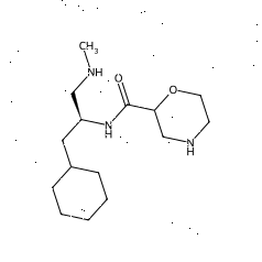 CNC[C@H](CC1CCCCC1)NC(=O)C1CNCCO1